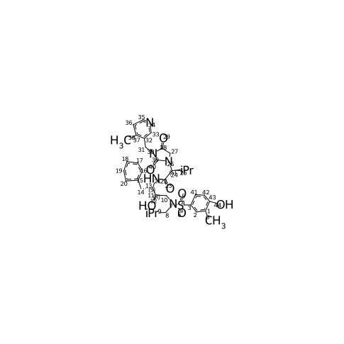 Cc1cc(S(=O)(=O)N(CC(C)C)C[C@@H](O)[C@H](Cc2ccccc2)NC(=O)[C@H](C(C)C)N2CC(=O)N(Cc3cnccc3C)C2=O)ccc1O